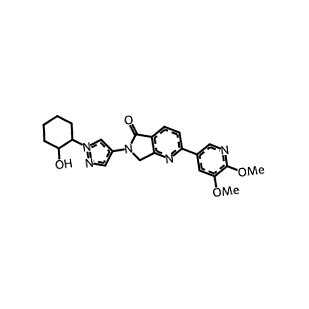 COc1cc(-c2ccc3c(n2)CN(c2cnn(C4CCCCC4O)c2)C3=O)cnc1OC